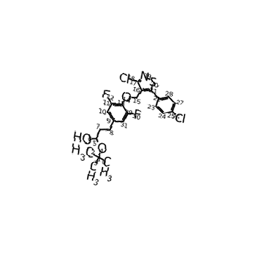 CC(C)(C)OC(O)CCc1cc(F)c(OCc2c(Cl)nsc2-c2ccc(Cl)cc2)c(F)c1